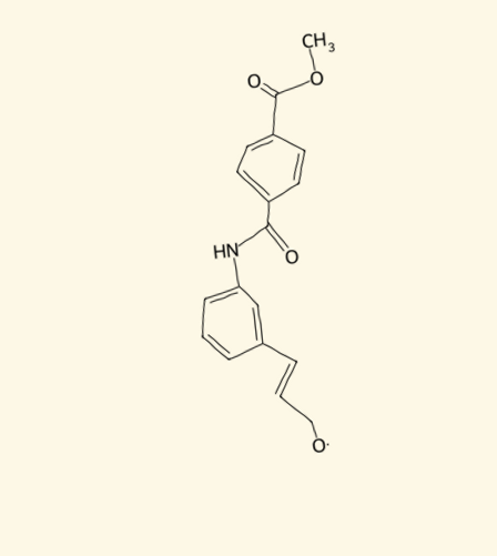 COC(=O)c1ccc(C(=O)Nc2cccc(/C=C/C[O])c2)cc1